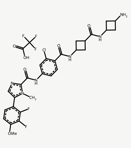 COc1ccc(-c2cnc(C(=O)Nc3ccc(C(=O)NC4CC(C(=O)NC5CC(N)C5)C4)c(Cl)c3)n2C)c(F)c1F.O=C(O)C(F)(F)F